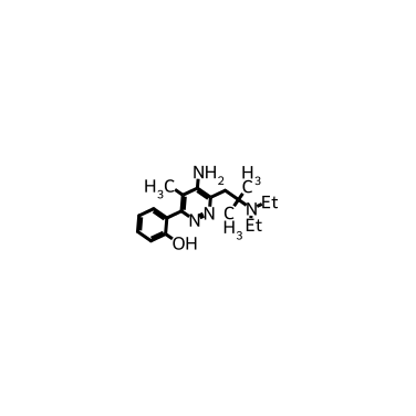 CCN(CC)C(C)(C)Cc1nnc(-c2ccccc2O)c(C)c1N